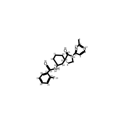 Cc1nccc(N2CC[C@]3(CCC[C@H](NC(=O)c4ccccc4F)C3)C2=O)n1